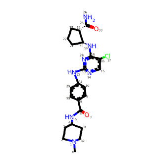 CN1CCC(NC(=O)c2ccc(Nc3ncc(Cl)c(N[C@@H]4CCC[C@@H]4C(N)=O)n3)cc2)CC1